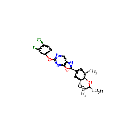 Cc1cc(-c2nc3cnc(Oc4ccc(Cl)c(F)c4)nc3o2)cc(C)c1OC(C)C(=O)O